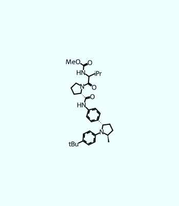 COC(=O)NC(C(=O)N1CCC[C@H]1C(=O)Nc1ccc([C@@H]2CC[C@@H](C)N2c2ccc(C(C)(C)C)cc2)cc1)C(C)C